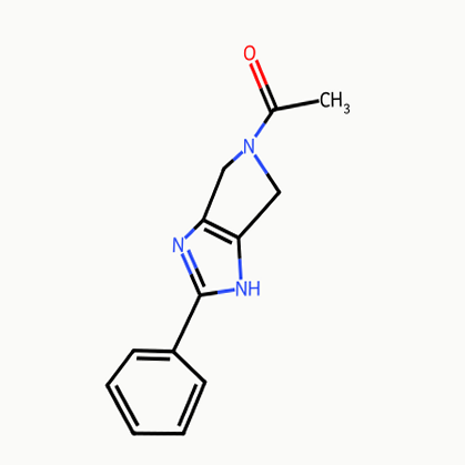 CC(=O)N1Cc2nc(-c3ccccc3)[nH]c2C1